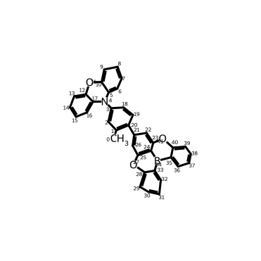 Cc1cc(N2c3ccccc3Oc3ccccc32)ccc1-c1cc2c3c(c1)Oc1ccccc1B3c1ccccc1O2